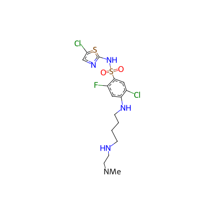 CNCCNCCCCNc1cc(F)c(S(=O)(=O)Nc2ncc(Cl)s2)cc1Cl